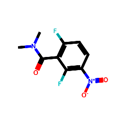 CN(C)C(=O)c1c(F)ccc([N+](=O)[O-])c1F